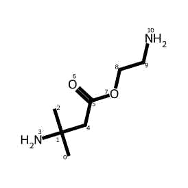 CC(C)(N)CC(=O)OCCN